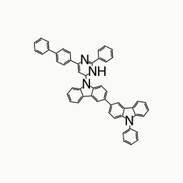 C1=C(c2ccc(-c3ccccc3)cc2)N=C(c2ccccc2)NC1n1c2ccccc2c2cc(-c3ccc4c(c3)c3ccccc3n4-c3ccccc3)ccc21